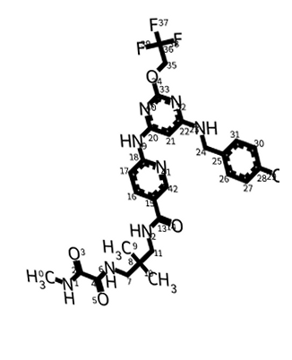 CNC(=O)C(=O)NCC(C)(C)CNC(=O)c1ccc(Nc2cc(NCc3ccc(Cl)cc3)nc(OCC(F)(F)F)n2)nc1